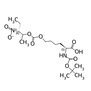 CC[C@H](C(C)OC(=O)OCCCC[C@H](NC(=O)OC(C)(C)C)C(=O)O)[N+](=O)[O-]